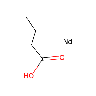 CCCC(=O)O.[Nd]